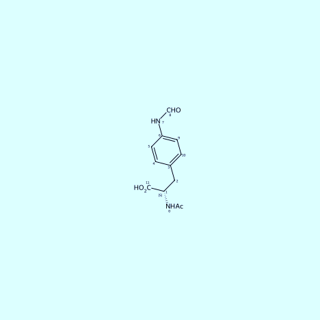 CC(=O)N[C@@H](Cc1ccc(NC=O)cc1)C(=O)O